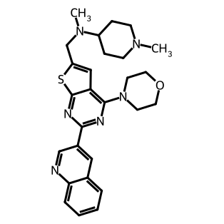 CN1CCC(N(C)Cc2cc3c(N4CCOCC4)nc(-c4cnc5ccccc5c4)nc3s2)CC1